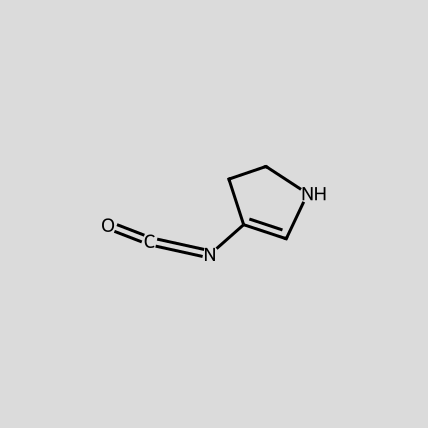 O=C=NC1=CNCC1